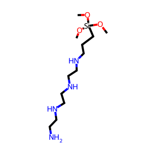 CO[Si](CCCNCCNCCNCCN)(OC)OC